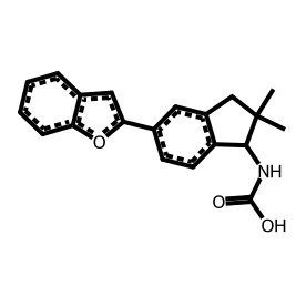 CC1(C)Cc2cc(-c3cc4ccccc4o3)ccc2C1NC(=O)O